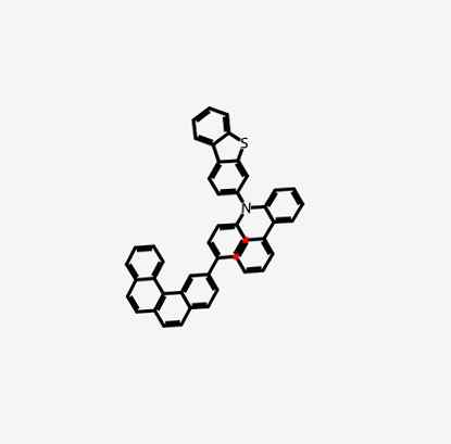 c1ccc(-c2ccccc2N(c2ccc(-c3ccc4ccc5ccc6ccccc6c5c4c3)cc2)c2ccc3c(c2)sc2ccccc23)cc1